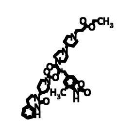 CCOC(=O)CCN1CCC(N2CCN(C(=O)[C@@H](Cc3cc(C)c4[nH]c(=O)oc4c3)OC(=O)N3CCC(N4CCc5ccccc5NC4=O)CC3)CC2)CC1